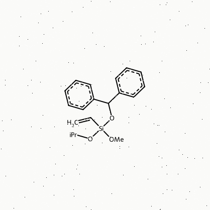 C=C[Si](OC)(OC(C)C)OC(c1ccccc1)c1ccccc1